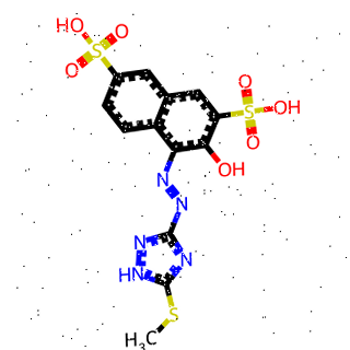 CSc1nc(N=Nc2c(O)c(S(=O)(=O)O)cc3cc(S(=O)(=O)O)ccc23)n[nH]1